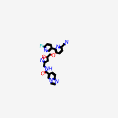 N#Cc1ccc(OCC2CC(CNC(=O)c3ccc4nccn4c3)=NO2)c(-c2ccc(F)nc2)n1